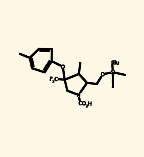 Cc1ccc(OC2(C(F)(F)F)CN(C(=O)O)C(CO[Si](C)(C)C(C)(C)C)C2C)cc1